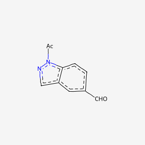 CC(=O)n1ncc2cc(C=O)ccc21